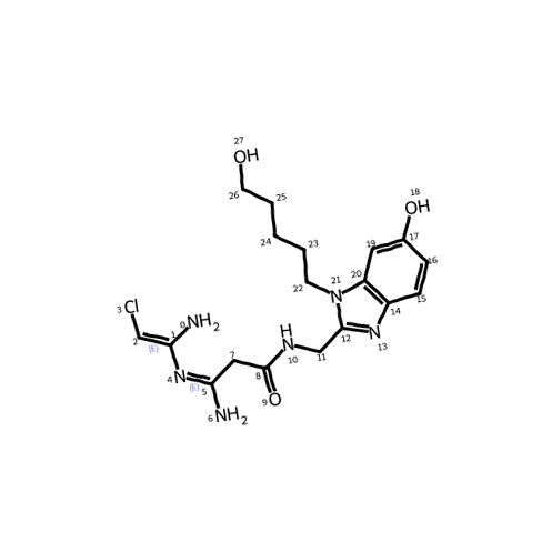 NC(=C\Cl)/N=C(/N)CC(=O)NCc1nc2ccc(O)cc2n1CCCCCO